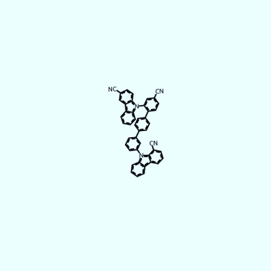 N#Cc1ccc(-c2ccc(-c3cccc(-n4c5ccccc5c5cccc(C#N)c54)c3)cc2)c(-n2c3ccccc3c3cc(C#N)ccc32)c1